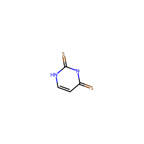 S=C1C=CNC(=S)[N]1